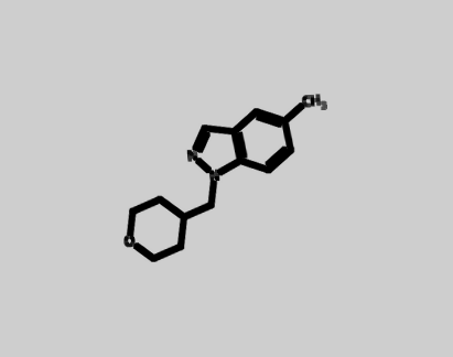 Cc1ccc2c(cnn2CC2CCOCC2)c1